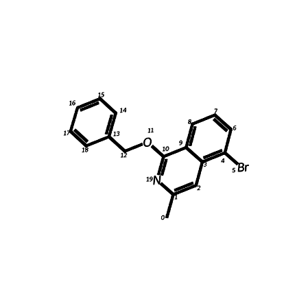 Cc1cc2c(Br)cccc2c(OCc2ccccc2)n1